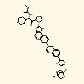 COC(=O)N[C@H](C(=O)N1CCCC1c1nc2ccc3cc(-c4ccc5cc(-c6cnc([C@H]7N[C@@H]8CC[C@H]7C8)[nH]6)ccc5c4)ccc3c2[nH]1)C1CCOCC1